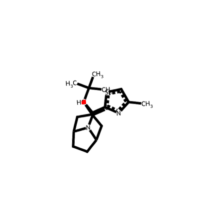 Cc1csc(C2(O)CC3CCC(C2)N3C(=O)OC(C)(C)C)n1